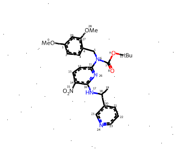 COc1ccc(CN(C(=O)OC(C)(C)C)c2ccc([N+](=O)[O-])c(NC(C)c3cccnc3)n2)c(OC)c1